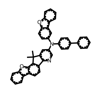 CC1(C)c2cc(N(c3ccc(-c4ccccc4)cc3)c3ccc4oc5ccccc5c4c3)cnc2-c2ccc3c(oc4ccccc43)c21